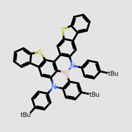 CC(C)(C)c1ccc(N2B3c4cc(C(C)(C)C)ccc4N(c4ccc(C(C)(C)C)cc4)c4cc5c(sc6ccccc65)c(c43)-c3cc4sc5ccccc5c4cc32)cc1